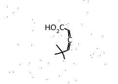 CC(C)(C)C=C=CC(=O)O